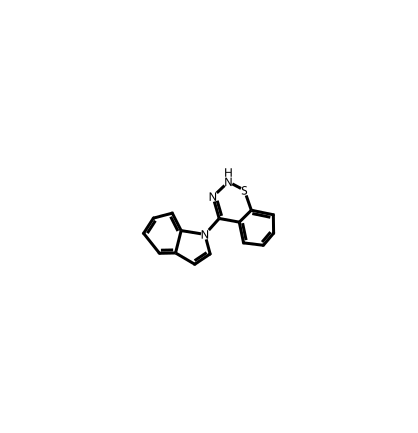 c1ccc2c(c1)SNN=C2n1ccc2ccccc21